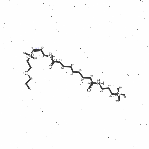 CCCOCC[N+](C)(C)/C=C\CNC(=O)CCCCCCCC(=O)NCCC[N+](C)(C)C